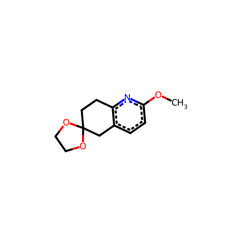 COc1ccc2c(n1)CCC1(C2)OCCO1